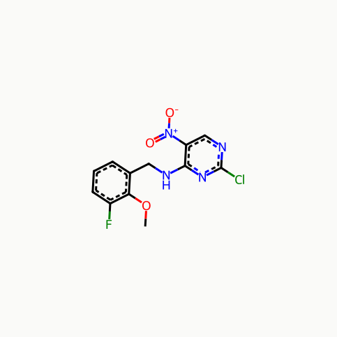 COc1c(F)cccc1CNc1nc(Cl)ncc1[N+](=O)[O-]